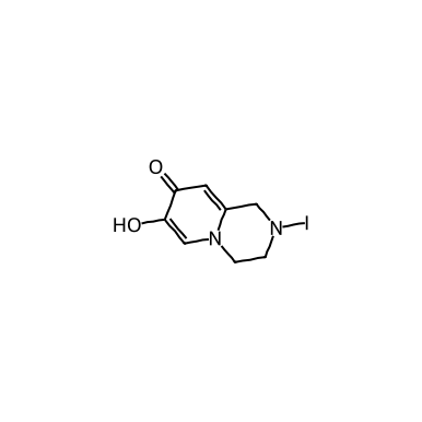 O=c1cc2n(cc1O)CCN(I)C2